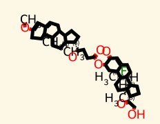 COC1=CC2=CCC3C(CC[C@@]4(C)C3CC[C@@H]4C(=O)CCC(=O)OC3C[C@@]4(C)C(=CC3=O)CC[C@H]3[C@@H]5CC[C@H](C(=O)CO)[C@@]5(C)CC[C@@]34F)[C@@]2(C)CC1